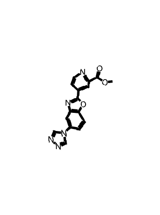 COC(=O)c1cc(-c2nc3cc(-n4cnnc4)ccc3o2)ccn1